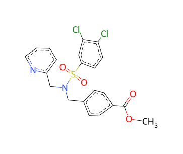 COC(=O)c1ccc(CN(Cc2ccccn2)S(=O)(=O)c2ccc(Cl)c(Cl)c2)cc1